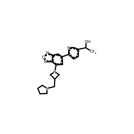 OC(c1ccc(-c2cc(N3CC(CN4CCCC4)C3)c3nonc3c2)nc1)C(F)(F)F